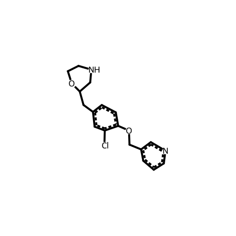 Clc1cc(CC2CNCCO2)ccc1OCc1cccnc1